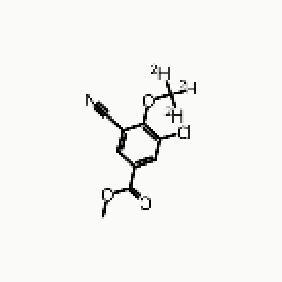 [2H]C([2H])([2H])Oc1c(Cl)cc(C(=O)OC)cc1C#N